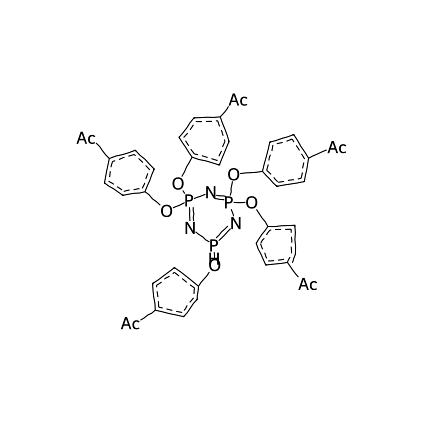 CC(=O)c1ccc(O[PH]2=NP(Oc3ccc(C(C)=O)cc3)(Oc3ccc(C(C)=O)cc3)=NP(Oc3ccc(C(C)=O)cc3)(Oc3ccc(C(C)=O)cc3)=N2)cc1